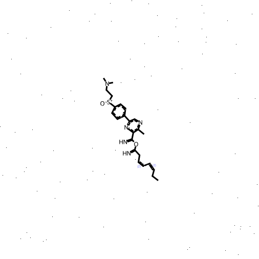 CC/C=C\C=C/CC(=N)OC(=N)c1nc(-c2ccc([S+]([O-])CCN(C)C)cc2)cnc1C